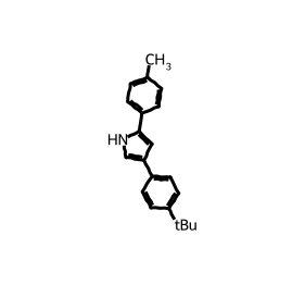 Cc1ccc(-c2cc(-c3ccc(C(C)(C)C)cc3)c[nH]2)cc1